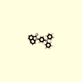 O=C1c2cccc3cccc(c23)N1c1ccc(N(c2ccccc2)c2ccccc2)cc1